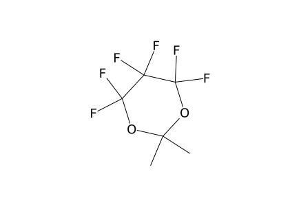 CC1(C)OC(F)(F)C(F)(F)C(F)(F)O1